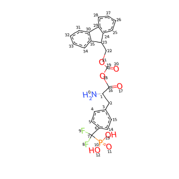 N[C@@H](Cc1ccc(C(F)(F)P(=O)(O)O)cc1)C(=O)OC(=O)OCC1c2ccccc2-c2ccccc21